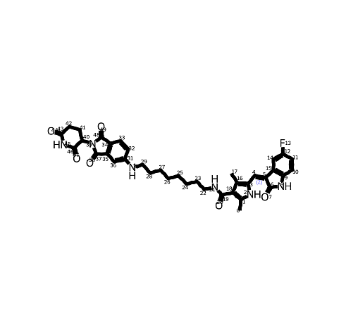 Cc1[nH]c(/C=C2\C(=O)Nc3ccc(F)cc32)c(C)c1C(=O)NCCCCCCCCNc1ccc2c(c1)C(=O)N(C1CCC(=O)NC1=O)C2=O